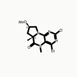 CCc1nc(Cl)nc2c1N(C)C(=O)[C@]1(C)C[C@@H](OC)CN21